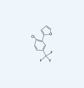 FC(F)(F)c1ccc(Cl)c(-c2cc[c]o2)c1